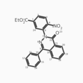 CCOC(=O)c1ccc([N+](=O)[O-])c(-n2nc(-c3ccccc3)c3ccccc3c2=O)c1